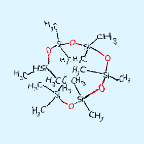 C[SiH](C)O[Si](C)(C)O[Si](C)(C)O[Si](C)(C)O[Si](C)(C)O[Si](C)(C)C